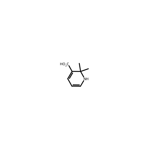 CC1(C)NC=CC=C1C(=O)O